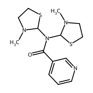 CN1CCSC1N(C(=O)c1cccnc1)C1SCCN1C